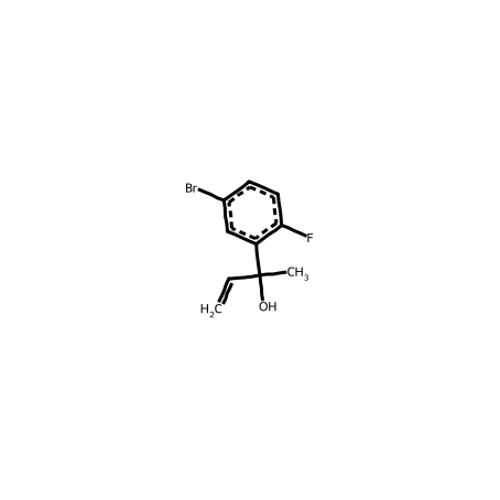 C=CC(C)(O)c1cc(Br)ccc1F